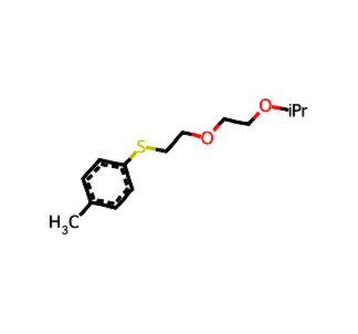 Cc1ccc(SCCOCCOC(C)C)cc1